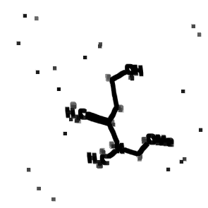 C=C(CCO)N(C)COC